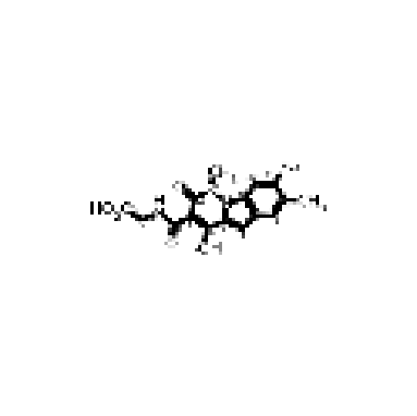 Cc1cc2cc3c(O)c(C(=O)NCC(=O)O)c(=O)n(C)n3c2cc1F